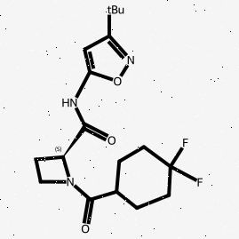 CC(C)(C)c1cc(NC(=O)[C@@H]2CCN2C(=O)C2CCC(F)(F)CC2)on1